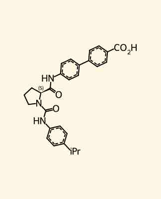 CC(C)c1ccc(NC(=O)N2CCC[C@H]2C(=O)Nc2ccc(-c3ccc(C(=O)O)cc3)cc2)cc1